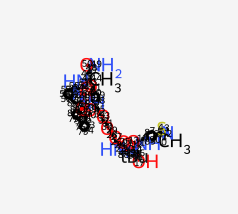 Cc1ncsc1-c1ccc(CNC(=O)[C@@H]2C[C@@H](O)CN2C(=O)[C@@H](NC(=O)COCCOCCOCCCc2ccc(CO[C@H](C)[C@H](CCC(N)=O)NC(=O)[C@@H]3Cc4cccc5c4N3C(=O)[C@@H](NC(=O)OCC3c4ccccc4-c4ccccc43)CC5)cc2)C(C)(C)C)cc1